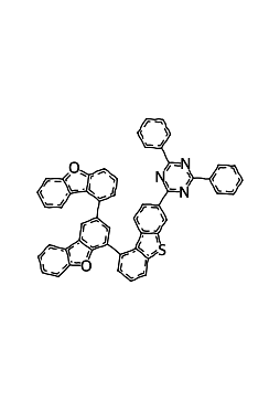 c1ccc(-c2nc(-c3ccccc3)nc(-c3ccc4c(c3)sc3cccc(-c5cc(-c6cccc7oc8ccccc8c67)cc6c5oc5ccccc56)c34)n2)cc1